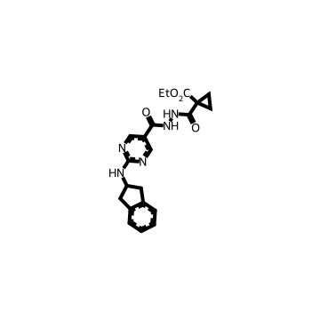 CCOC(=O)C1(C(=O)NNC(=O)c2cnc(NC3Cc4ccccc4C3)nc2)CC1